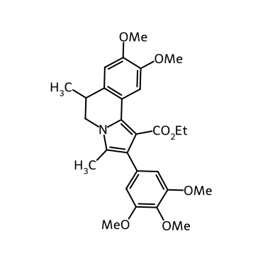 CCOC(=O)c1c(-c2cc(OC)c(OC)c(OC)c2)c(C)n2c1-c1cc(OC)c(OC)cc1C(C)C2